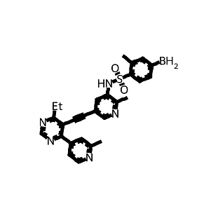 Bc1ccc(S(=O)(=O)Nc2cc(C#Cc3c(CC)ncnc3-c3ccnc(C)c3)cnc2C)c(C)c1